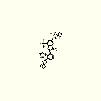 Cn1cnnc1[C@]1(c2cccc(N3Cc4c(cc(CNC5(C)CCC5)cc4C(F)(F)F)C3=O)c2)C[C@@]2(CCO2)C1